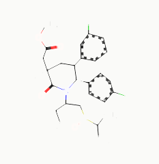 CCC(C[S@@+]([O-])C(C)C)N1C(=O)[C@@](C)(CC(=O)OC)CC(c2cccc(Cl)c2)[C@H]1c1ccc(Cl)cc1